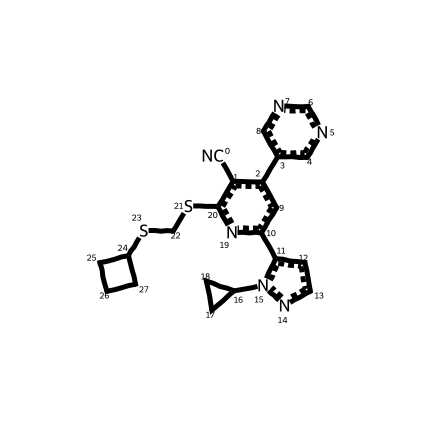 N#Cc1c(-c2cncnc2)cc(-c2ccnn2C2CC2)nc1SCSC1CCC1